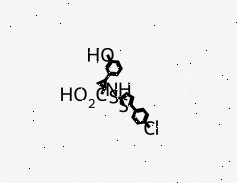 O=C(O)C1(NSc2ccc(-c3ccc(Cl)cc3)s2)CC1c1cccc(O)c1